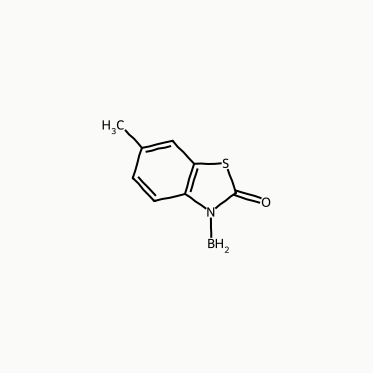 Bn1c(=O)sc2cc(C)ccc21